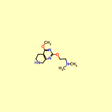 COc1nc(OCCN(C)C)nc2c1CCNC2